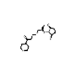 O=C(CSCCC(=O)N1CCOCC1)ON1C(=O)CCC1=O